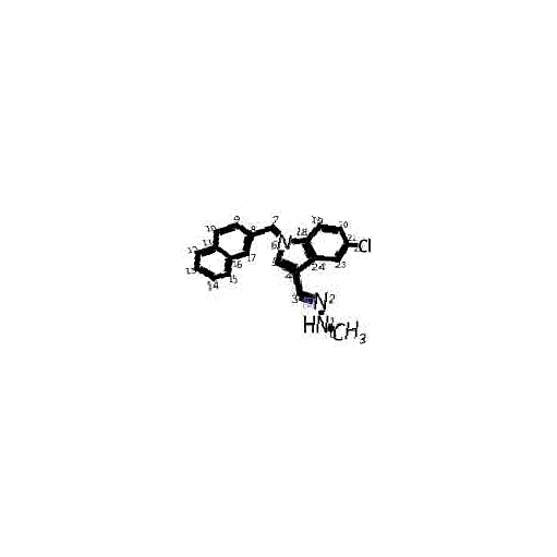 CN/N=C/c1cn(Cc2ccc3ccccc3c2)c2ccc(Cl)cc12